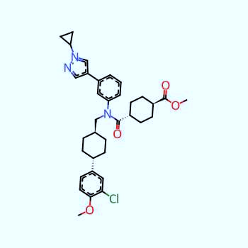 COc1ccc([C@H]2CC[C@H](CN(c3cccc(-c4cnn(C5CC5)c4)c3)C(=O)[C@H]3CC[C@H](C(=O)OC)CC3)CC2)cc1Cl